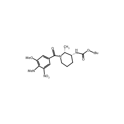 CNc1c(OC)cc(C(=O)N2CCC[C@@H](NC(=O)OC(C)(C)C)[C@H]2C)cc1[N+](=O)[O-]